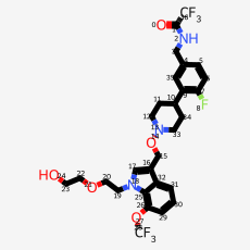 O=C(NCc1ccc(F)c(C2CCN(OCc3cn(CCOCCO)c4c(OC(F)(F)F)cccc34)CC2)c1)C(F)(F)F